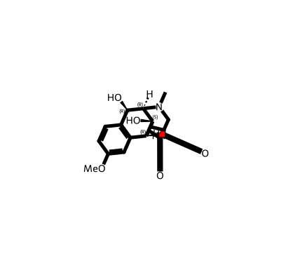 COc1ccc2c(c1)[C@]13CCN(C)[C@H]([C@@H]2O)[C@]1(O)CCNC(=O)NC(=O)C3